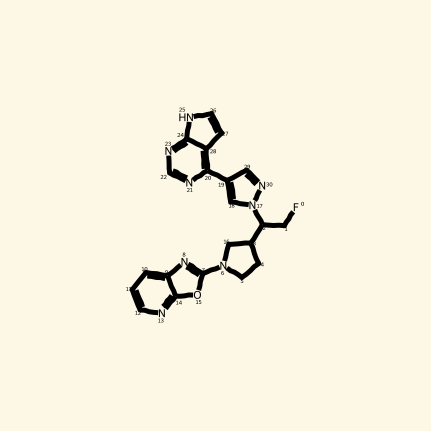 FCC(C1CCN(c2nc3cccnc3o2)C1)n1cc(-c2ncnc3[nH]ccc23)cn1